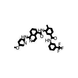 COc1ccc(Nc2nccc3c(C(=O)Nc4cc(C(=O)Nc5cccc(C(F)(F)F)c5)ccc4C)cccc23)nc1